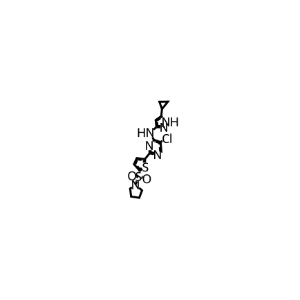 O=S(=O)(c1ccc(-c2ncc(Cl)c(Nc3cc(C4CC4)[nH]n3)n2)s1)N1CCCC1